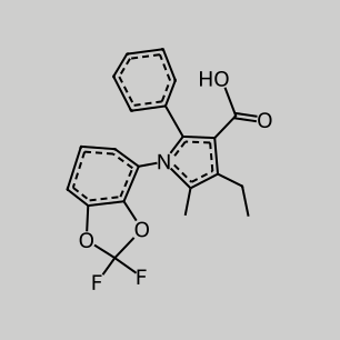 CCc1c(C(=O)O)c(-c2ccccc2)n(-c2cccc3c2OC(F)(F)O3)c1C